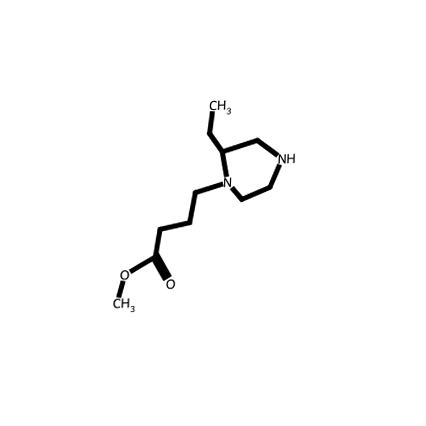 CCC1CNCCN1CCCC(=O)OC